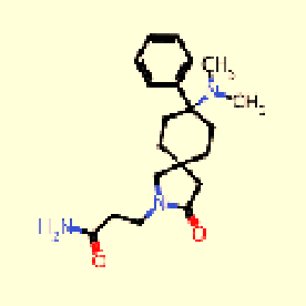 CN(C)[C@]1(c2ccccc2)CC[C@@]2(CC1)CC(=O)N(CCC(N)=O)C2